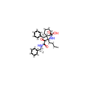 CCCCC(NC(=O)O)(C(=O)C(=O)N[C@H](C)c1ccccc1)C1(Cc2ccccc2)CCCCC1